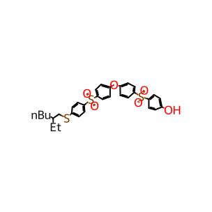 CCCCC(CC)CSc1ccc(S(=O)(=O)c2ccc(Oc3ccc(S(=O)(=O)c4ccc(O)cc4)cc3)cc2)cc1